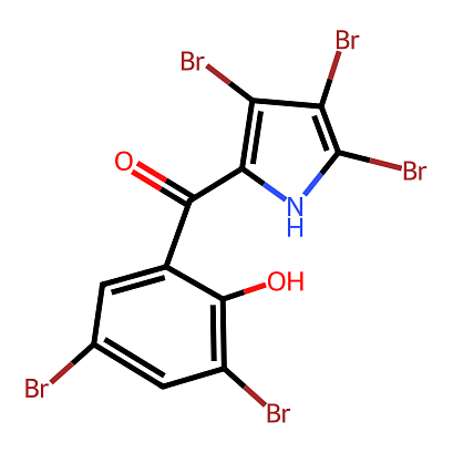 O=C(c1cc(Br)cc(Br)c1O)c1[nH]c(Br)c(Br)c1Br